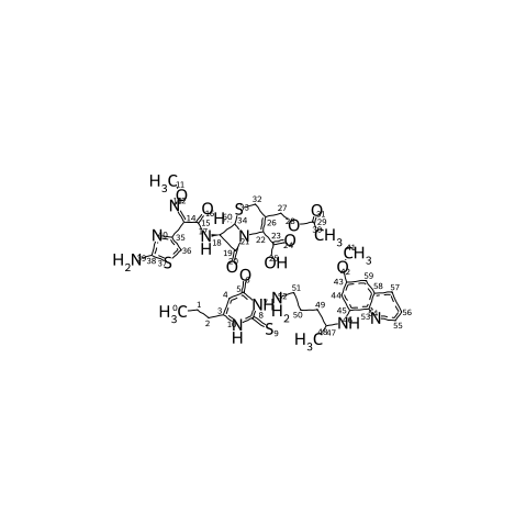 CCCc1cc(=O)[nH]c(=S)[nH]1.CO/N=C(\C(=O)N[C@@H]1C(=O)N2C(C(=O)O)=C(COC(C)=O)CS[C@H]12)c1csc(N)n1.COc1cc(NC(C)CCCN)c2ncccc2c1